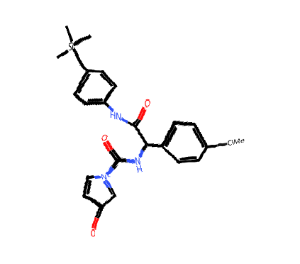 COc1ccc(C(NC(=O)[N+]2=CC(=O)C=C2)C(=O)Nc2ccc([Si](C)(C)C)cc2)cc1